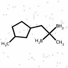 BC(B)(C)CC1CCC(C)C1